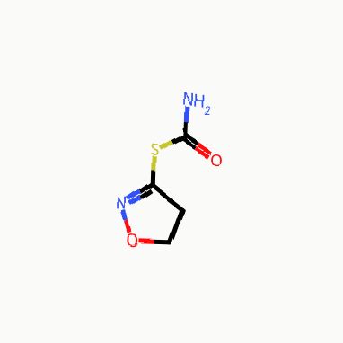 NC(=O)SC1=NOCC1